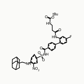 CC(C)(C)OC(=O)NCCC(=O)Nc1cc(F)ccc1-c1ccc(C(=O)NS(=O)(=O)c2ccc(NCC34CC5CC(CC(C5)C3)C4)c([N+](=O)[O-])c2)cc1